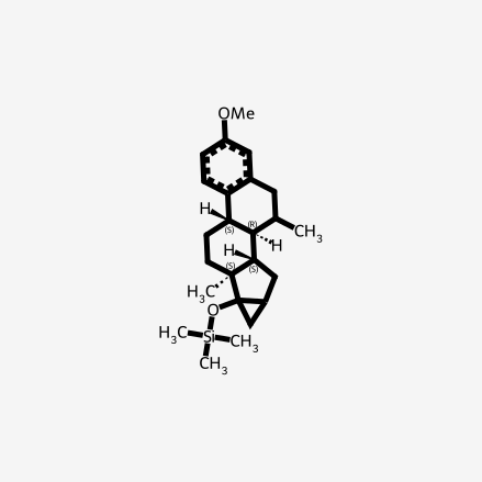 COc1ccc2c(c1)CC(C)[C@@H]1[C@@H]2CC[C@@]2(C)[C@H]1CC1CC12O[Si](C)(C)C